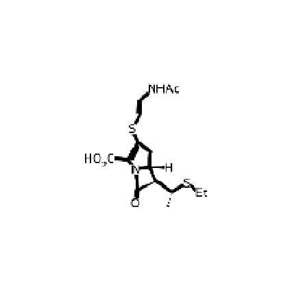 CCS[C@H](C)[C@H]1C(=O)N2C(C(=O)O)=C(S/C=C/NC(C)=O)C[C@H]12